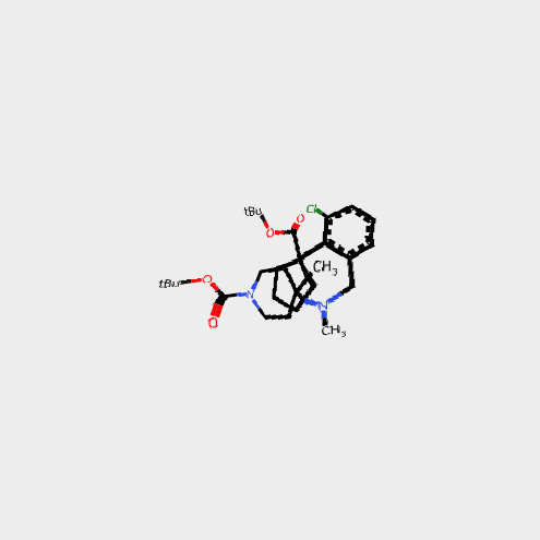 CN(Cc1cccc(Cl)c1C1(C(=O)OC(C)(C)C)CCCC1)C1(C)CCN(C(=O)OC(C)(C)C)CC1